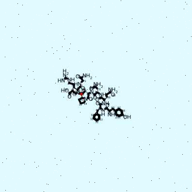 N=C(N)NCCC[C@H](NC(=O)[C@@H]1CCCN1C(=O)[C@H](CCSCCC(=O)O)NC(=O)[C@H](CC(N)=O)NC(=O)[C@H](CCC(N)=O)NC(=O)[C@H](Cc1ccccc1)NC(=O)[C@@H](N)Cc1ccc(O)cc1)C(=O)NCC(N)=O